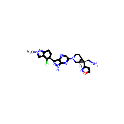 Cn1cc2c(Cl)c(-c3n[nH]c4nc(N5CC[C@@H]6[C@H](C5)[C@@]6(CN)c5ccon5)cnc34)ccc2n1